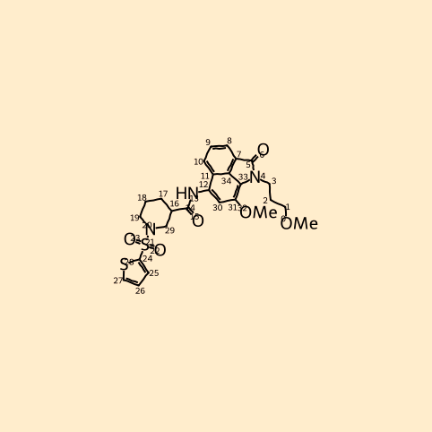 COCCCN1C(=O)c2cccc3c(NC(=O)C4CCCN(S(=O)(=O)c5cccs5)C4)cc(OC)c1c23